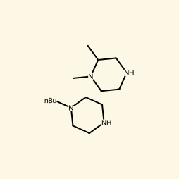 CC1CNCCN1C.CCCCN1CCNCC1